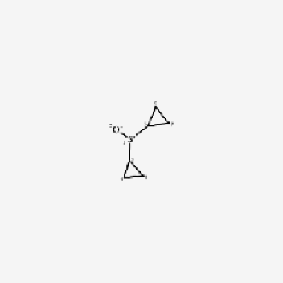 [O-][S+](C1CC1)C1CC1